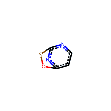 c1cc2nc(n1)SO2